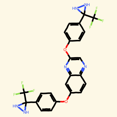 FC(F)(F)C1(c2ccc(Oc3ccc4ncc(Oc5ccc(C6(C(F)(F)F)NN6)cc5)nc4c3)cc2)NN1